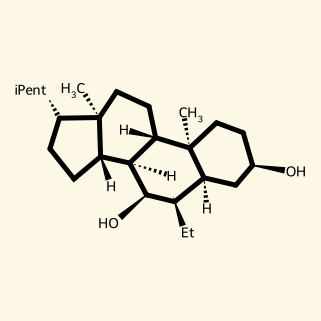 CCC[C@@H](C)C1CC[C@H]2[C@@H]3[C@H](O)[C@H](CC)[C@@H]4C[C@H](O)CC[C@]4(C)[C@H]3CC[C@]12C